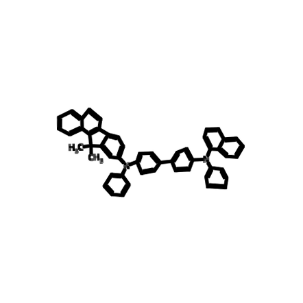 CC1(C)c2cc(N(c3ccccc3)c3ccc(-c4ccc(N(c5ccccc5)c5cccc6ccccc56)cc4)cc3)ccc2-c2ccc3ccccc3c21